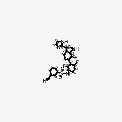 N#Cc1cccc(S(=O)(=O)Nc2ccc(F)c(-c3ccc4c(-c5ncc[nH]5)n[nH]c4c3F)c2F)c1